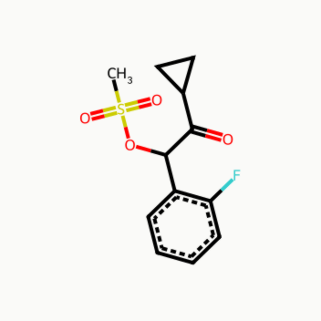 CS(=O)(=O)OC(C(=O)C1CC1)c1ccccc1F